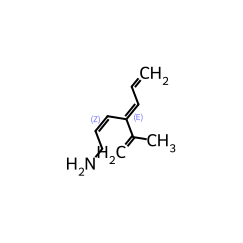 C=C/C=C(\C=C/CN)C(=C)C